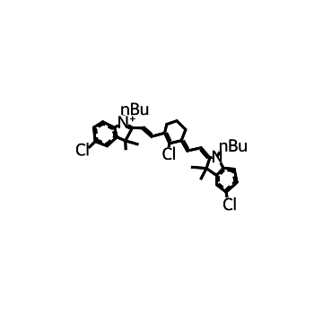 CCCCN1/C(=C/C=C2\CCCC(/C=C/C3=[N+](CCCC)c4ccc(Cl)cc4C3(C)C)=C2Cl)C(C)(C)c2cc(Cl)ccc21